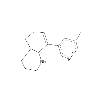 Cc1cncc(C2=CCCC3CCCNC23)c1